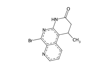 CC1CC(=O)Nc2nc(Br)c3ncccc3c21